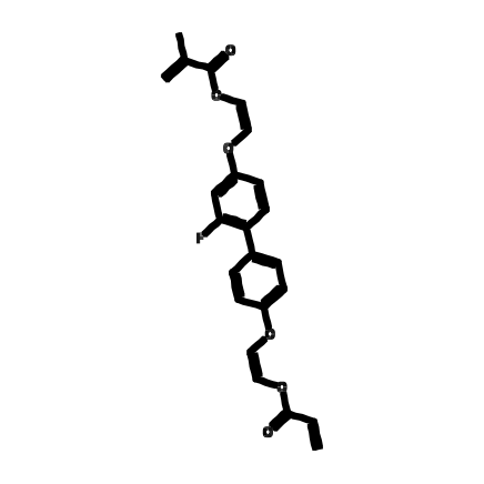 C=CC(=O)O/C=C\Oc1ccc(-c2ccc(O/C=C\OC(=O)C(=C)C)cc2F)cc1